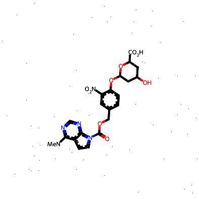 CNc1ncnc2c1ccn2C(=O)OCc1ccc(OC2CC(O)CC(C(=O)O)O2)c([N+](=O)[O-])c1